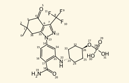 CC1(C)CC(=O)c2c(C(F)(F)F)nn(-c3ccc(C(N)=O)c(N[C@H]4CC[C@H](OP(=O)(O)O)CC4)c3)c2C1